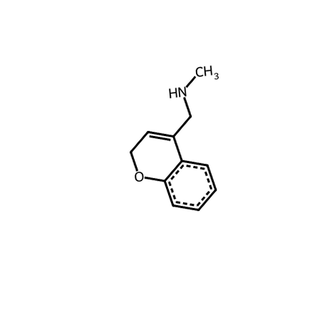 CNCC1=CCOc2ccccc21